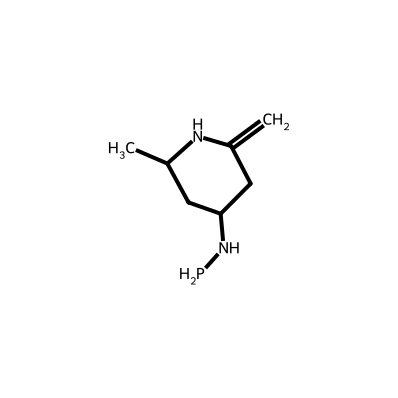 C=C1CC(NP)CC(C)N1